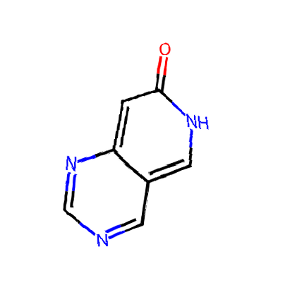 O=c1cc2ncncc2c[nH]1